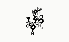 Cc1cc(C#N)cc(C(=O)NCC2CC2)c1NC(=O)c1cc(Cn2ncc(C(F)(F)F)n2)nn1-c1ncccc1Cl